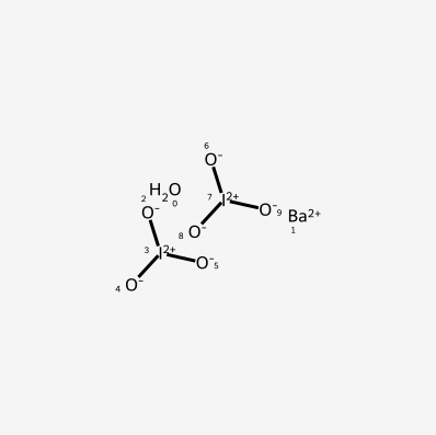 O.[Ba+2].[O-][I+2]([O-])[O-].[O-][I+2]([O-])[O-]